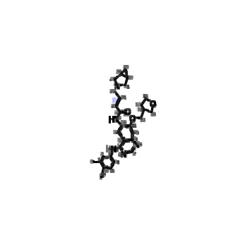 Cc1cc(Nc2ncnc3cc(OCC4CCOC4)c(NC(=O)/C=C/CN4CC5CC5C4)cc23)ccc1F